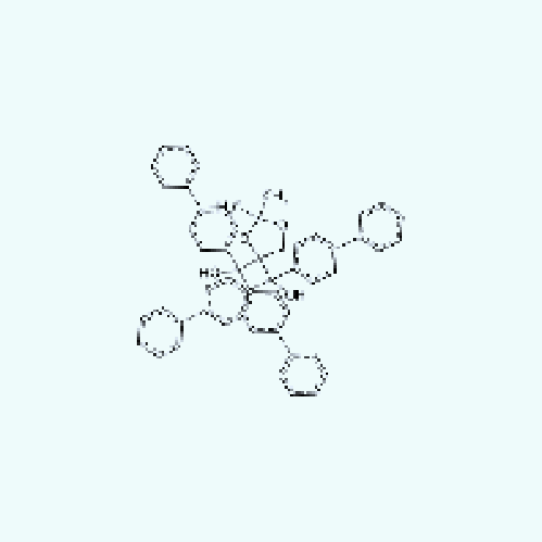 CC1(C)OCC(C(O)(c2ccc(-c3ccccc3)cc2)c2ccc(-c3ccccc3)cc2)(C(O)(c2ccc(-c3ccccc3)cc2)c2ccc(-c3ccccc3)cc2)O1